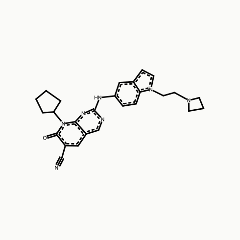 N#Cc1cc2cnc(Nc3ccc4c(ccn4CCN4CCC4)c3)nc2n(C2CCCC2)c1=O